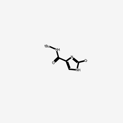 CC(C)(C)NC(=O)c1c[nH]c([O])n1